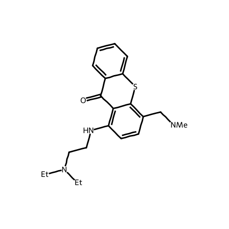 CCN(CC)CCNc1ccc(CNC)c2sc3ccccc3c(=O)c12